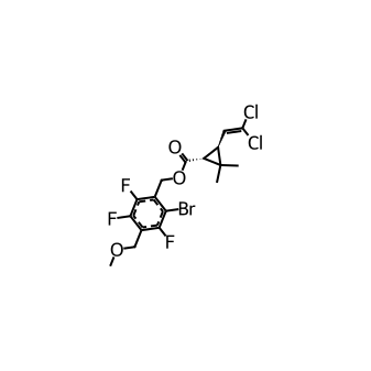 COCc1c(F)c(F)c(COC(=O)[C@@H]2[C@@H](C=C(Cl)Cl)C2(C)C)c(Br)c1F